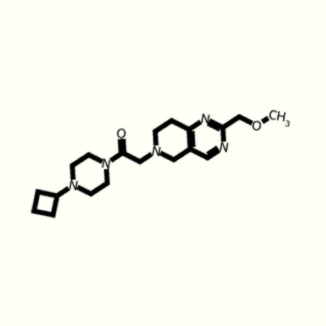 COCc1ncc2c(n1)CCN(CC(=O)N1CCN(C3CCC3)CC1)C2